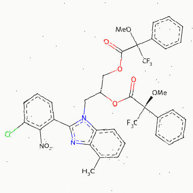 COC(C(=O)OCC(Cn1c(-c2cccc(Cl)c2[N+](=O)[O-])nc2c(C)cccc21)OC(=O)[C@](OC)(c1ccccc1)C(F)(F)F)(c1ccccc1)C(F)(F)F